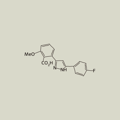 COc1cccc(-c2cc(-c3ccc(F)cc3)[nH]n2)c1C(=O)O